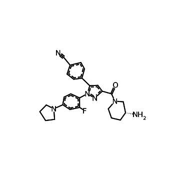 N#Cc1ccc(-c2cc(C(=O)N3CCC[C@@H](N)C3)nn2-c2ccc(N3CCCC3)cc2F)cc1